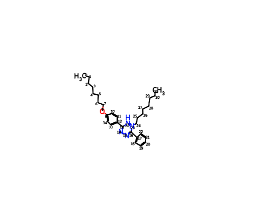 CCCCCCCCOc1ccc(C2=NN=C(c3ccccc3)N(CCCCCCCC)N2)cc1